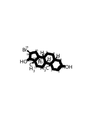 C[C@]12CC=C(O)C[C@@H]1CC[C@@H]1[C@@H]2CC[C@]2(C)C(O)[C@@H](Br)C[C@@H]12